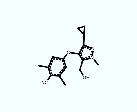 Cc1cc(Oc2c(C3CC3)nn(C)c2CO)cc(C)c1C#N